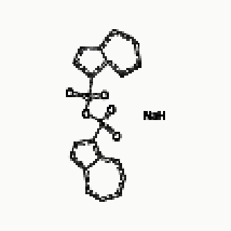 O=S(=O)(OS(=O)(=O)c1ccc2cccccc1-2)c1ccc2cccccc1-2.[NaH]